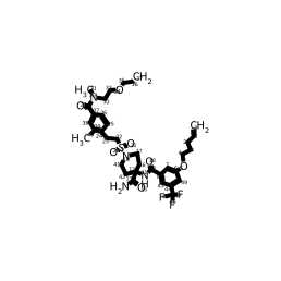 C=CCCCOc1cc(C(=O)NC2(C(N)=O)CCN(S(=O)(=O)CCc3ccc(C(=O)N(C)CCOCC=C)cc3C)CC2)cc(C(F)(F)F)c1